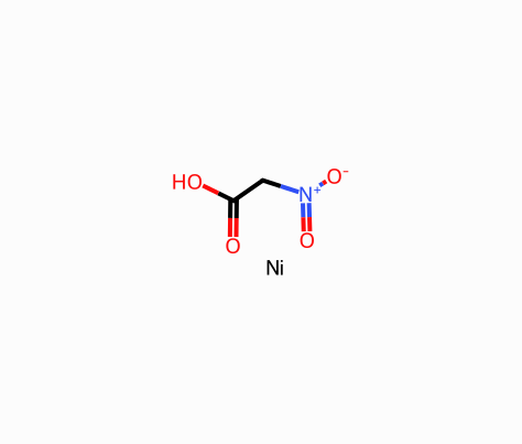 O=C(O)C[N+](=O)[O-].[Ni]